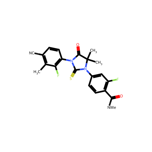 CNC(=O)c1ccc(N2C(=S)N(c3ccc(C#N)c(C)c3F)C(=O)C2(C)C)cc1F